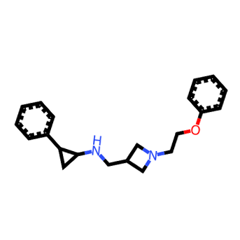 c1ccc(OCCN2CC(CNC3CC3c3ccccc3)C2)cc1